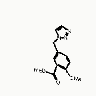 COC(=O)c1cc(Cn2ccnn2)ccc1OC